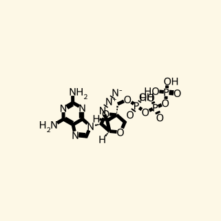 [N-]=[N+]=N[C@H]1[C@H]2OC[C@]1(COP(=O)(O)OP(=O)(O)OP(=O)(O)O)O[C@H]2n1cnc2c(N)nc(N)nc21